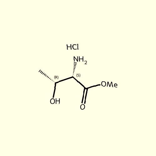 COC(=O)[C@@H](N)[C@@H](C)O.Cl